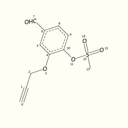 C#CCOc1cc(C=O)ccc1OS(C)(=O)=O